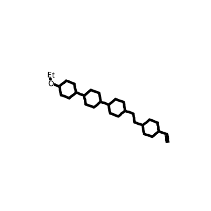 C=CC1CCC(CCC2CCC(C3CCC(C4CCC(OCC)CC4)CC3)CC2)CC1